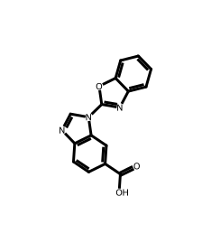 O=C(O)c1ccc2ncn(-c3nc4ccccc4o3)c2c1